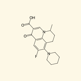 CC1CCc2c(N3CCCCC3)c(F)cc3c(=O)c(C(=O)O)cn1c23